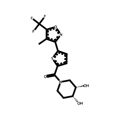 Cc1c(-c2ccc(C(=O)N3CC[C@@H](O)[C@@H](O)C3)s2)noc1C(F)(F)F